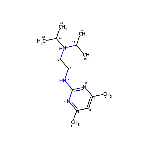 Cc1cc(C)nc(NCCN(C(C)C)C(C)C)n1